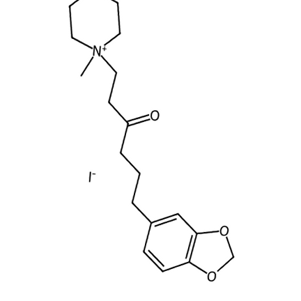 C[N+]1(CCC(=O)CCCc2ccc3c(c2)OCO3)CCCCC1.[I-]